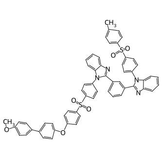 COc1ccc(-c2ccc(Oc3ccc(S(=O)(=O)c4ccc(-n5c(-c6cccc(-c7nc8ccccc8n7-c7ccc(S(=O)(=O)c8ccc(C)cc8)cc7)c6)nc6ccccc65)cc4)cc3)cc2)cc1